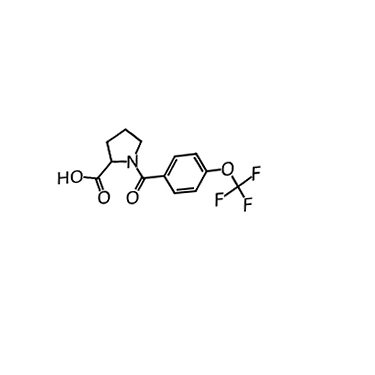 O=C(O)C1CCCN1C(=O)c1ccc(OC(F)(F)F)cc1